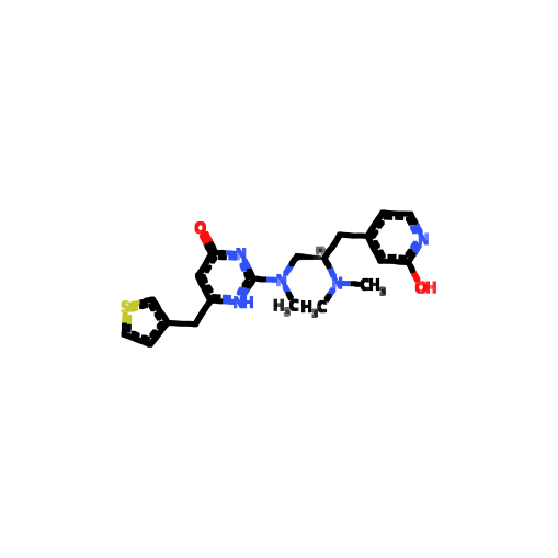 CN(C[C@@H](Cc1ccnc(O)c1)N(C)C)c1nc(=O)cc(Cc2ccsc2)[nH]1